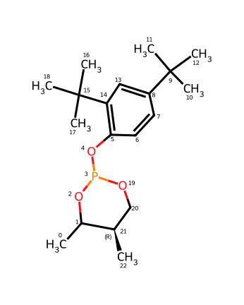 CC1OP(Oc2ccc(C(C)(C)C)cc2C(C)(C)C)OC[C@H]1C